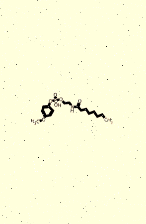 CCCCCCCC(=O)NCCOP(=O)(O)Oc1ccc(OC)cc1